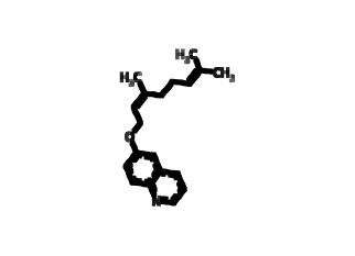 CC(C)=CCCC(C)=CCOc1ccc2ncccc2c1